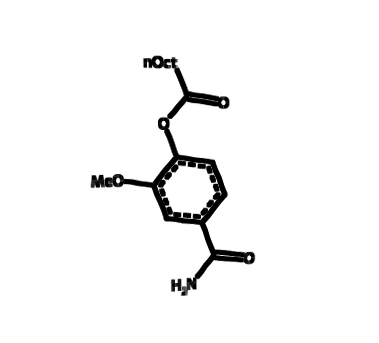 CCCCCCCCC(=O)Oc1ccc(C(N)=O)cc1OC